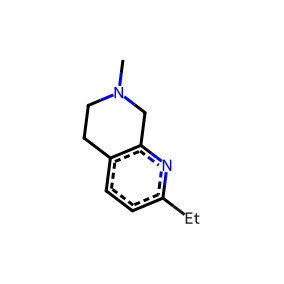 CCc1ccc2c(n1)CN(C)CC2